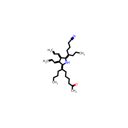 C=C/C=c1c(=C(\CCCC)CCCCC(C)=O)/[nH]c(=C(\CCC)CCCC#N)/c/1=C/C=C